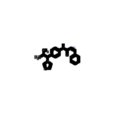 CC(C)C(c1ccc(NC(=O)/C=C\c2ccccc2)cc1)n1ccnc1